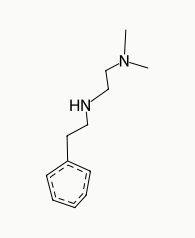 CN(C)CCNCCc1ccccc1